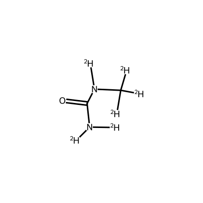 [2H]N([2H])C(=O)N([2H])C([2H])([2H])[2H]